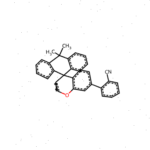 CC1(C)c2ccccc2C2(c3ccccc3Oc3cc(-c4ccccc4C#N)ccc32)c2ccccc21